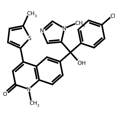 Cc1ccc(-c2cc(=O)n(C)c3ccc(C(O)(c4ccc(Cl)cc4)c4cncn4C)cc23)s1